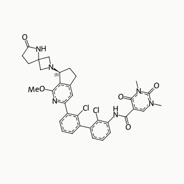 COc1nc(-c2cccc(-c3cccc(NC(=O)c4cn(C)c(=O)n(C)c4=O)c3Cl)c2Cl)cc2c1[C@@H](N1CC3(CCC(=O)N3)C1)CC2